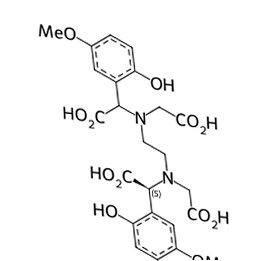 COc1ccc(O)c(C(C(=O)O)N(CCN(CC(=O)O)[C@H](C(=O)O)c2cc(OC)ccc2O)CC(=O)O)c1